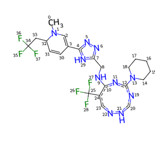 CN1C=C(c2nnc(CNc3nc(N4CCCCC4)nc[nH]ncc3C(F)(F)F)[nH]2)C=CC1CC(F)(F)F